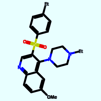 CCc1ccc(S(=O)(=O)c2cnc3ccc(OC)cc3c2N2CCN(CC)CC2)cc1